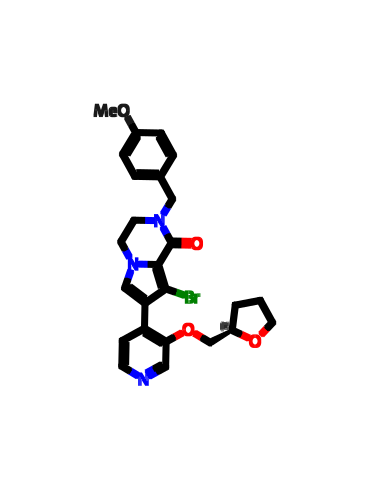 COc1ccc(CN2CCn3cc(-c4ccncc4OC[C@H]4CCCO4)c(Br)c3C2=O)cc1